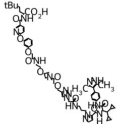 Cc1n[nH]c(C)c1-c1ccc(NC(=O)[C@@H](NC(=O)c2ccnn2CCCNC(=O)Cn2cc(COCC(=O)N3CC(OCCNC(=O)COc4cccc(Oc5ccc(C(=O)N[C@@H](CCC(C)(C)C)C(=O)O)cn5)c4)C3)nn2)C(C2CC2)C2CC2)cc1